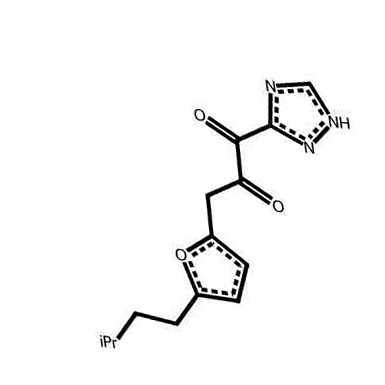 CC(C)CCc1ccc(CC(=O)C(=O)c2nc[nH]n2)o1